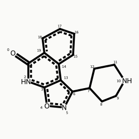 O=c1[nH]c2onc(C3CCNCC3)c2c2ccccc12